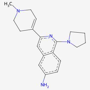 CN1CC=C(c2cc3cc(N)ccc3c(N3CCCC3)n2)CC1